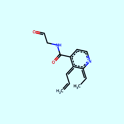 C=C/C=c1/c(C(=O)NCC=O)ccn/c1=C/C